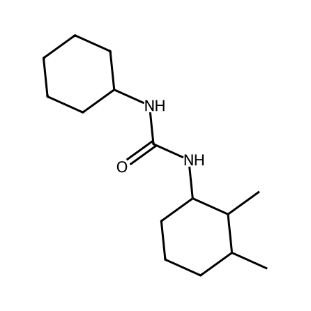 CC1CCCC(NC(=O)NC2CCCCC2)C1C